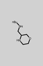 CCCCNCC1COCCN1